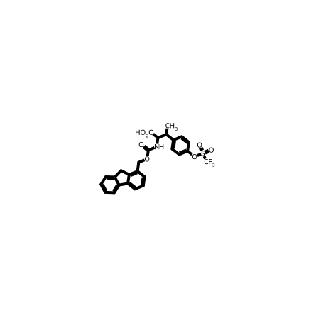 CC(c1ccc(OS(=O)(=O)C(F)(F)F)cc1)C(NC(=O)OCc1cccc2c1Cc1ccccc1-2)C(=O)O